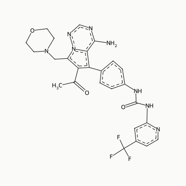 CC(=O)c1c(-c2ccc(NC(=O)Nc3cc(C(F)(F)F)ccn3)cc2)c2c(N)ncnn2c1CN1CCOCC1